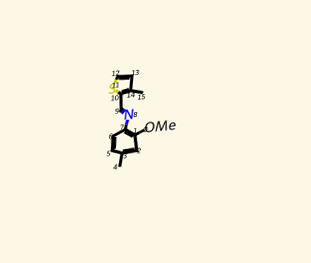 COc1cc(C)ccc1/N=C/c1sccc1C